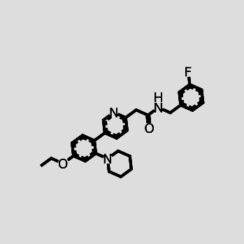 CCOc1ccc(-c2ccc(CC(=O)NCc3cccc(F)c3)nc2)c(N2CCCCC2)c1